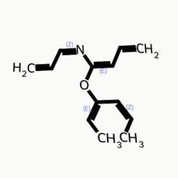 C=C/C=N\C(=C/C=C)OC(/C=C\C)=C/C